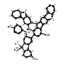 Cc1cc(-c2cc3c(cc2Nc2ccc(C(C)(C)C)cc2)C(C)(C)c2ccc(C(C)(C)C)cc2-3)c2c3c1c1cc4oc5ccccc5c4cc1n3-c1cc3oc4ccccc4c3cc1B2